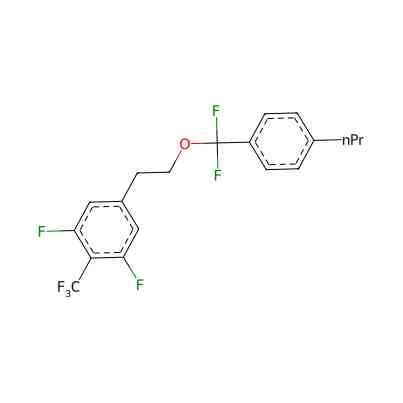 CCCc1ccc(C(F)(F)OCCc2cc(F)c(C(F)(F)F)c(F)c2)cc1